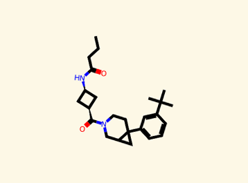 CCCC(=O)N[C@H]1C[C@@H](C(=O)N2CCC3(c4cccc(C(C)(C)C)c4)CC3C2)C1